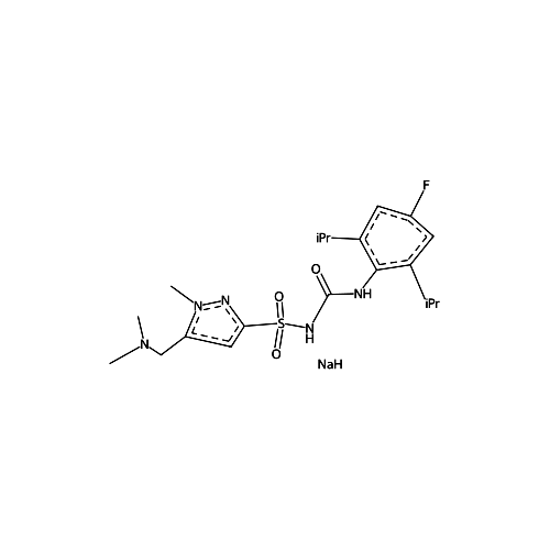 CC(C)c1cc(F)cc(C(C)C)c1NC(=O)NS(=O)(=O)c1cc(CN(C)C)n(C)n1.[NaH]